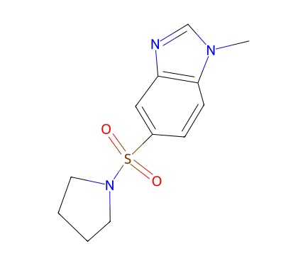 Cn1cnc2cc(S(=O)(=O)N3CCCC3)ccc21